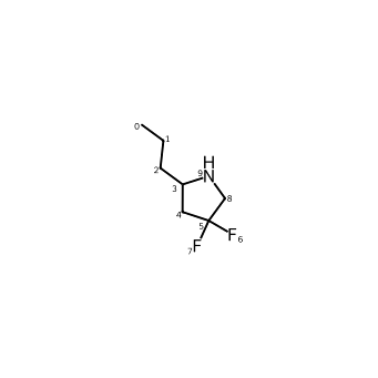 CCCC1CC(F)(F)CN1